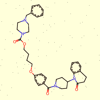 O=C(OCCCCOc1ccc(C(=O)N2CCC(N3C(=O)CCc4ccccc43)CC2)cc1)N1CCN(Cc2ccccc2)CC1